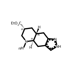 CCCN1C[C@H](C(=O)OCC)C[C@@H]2Cc3n[nH]cc3C[C@H]21